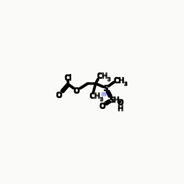 C/S(=[SH](=O)\O)C(C)(C)COC(=O)Cl